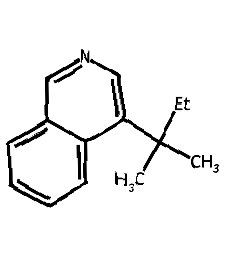 CCC(C)(C)c1cncc2ccccc12